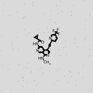 CNc1ncc(C#Cc2ccc(C(F)(F)F)cn2)c2cc(NC(=O)C3CC3)ncc12